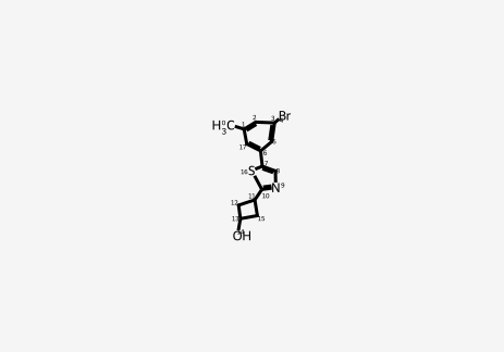 Cc1cc(Br)cc(-c2cnc(C3CC(O)C3)s2)c1